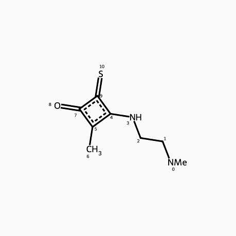 CNCCNc1c(C)c(=O)c1=S